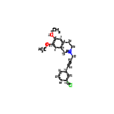 COc1cc2c(cc1OC)CN(CC#Cc1cccc(Cl)c1)CC2